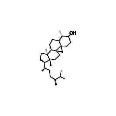 C=C(CC[C@@H](C)[C@H]1CC[C@@]2(C)C3CCC4[C@H](C)[C@@H](O)CC[C@@]45C[C@@]35CC[C@]12C)C(C)C